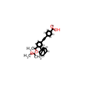 COC(C)OC(C)c1ccc(C#Cc2ccc(C(=O)O)cc2)cc1C12CC3CC(CC(C3)C1)C2